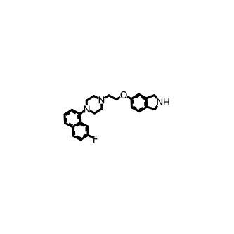 Fc1ccc2cccc(N3CCN(CCOc4ccc5c(c4)CNC5)CC3)c2c1